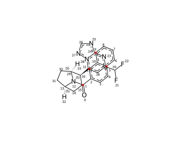 O=C(c1ccc2ccccc2c1)N1[C@H]2CC[C@H](c3cc(C(F)F)nc4ncnn34)[C@@H]1CC2